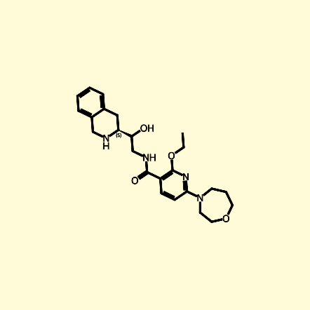 CCOc1nc(N2CCCOCC2)ccc1C(=O)NCC(O)[C@@H]1Cc2ccccc2CN1